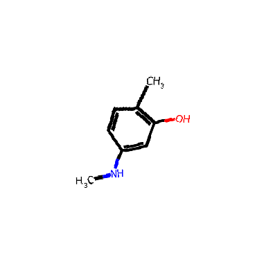 CNc1ccc(C)c(O)c1